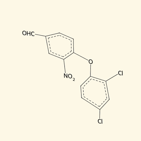 O=Cc1ccc(Oc2ccc(Cl)cc2Cl)c([N+](=O)[O-])c1